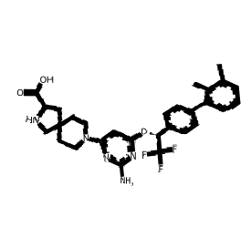 Cc1cccc(-c2ccc([C@@H](Oc3cc(N4CCC5(CC4)CNC(C(=O)O)C5)nc(N)n3)C(F)(F)F)cc2)c1C